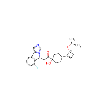 CC(C)O[C@@H]1CC=C1C1CCC(O)(C(=O)CC2c3c(F)cccc3-c3cncn32)CC1